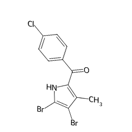 Cc1c(C(=O)c2ccc(Cl)cc2)[nH]c(Br)c1Br